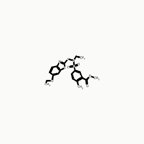 CCOc1ccc2nc(SN(CC)S(=O)(=O)c3ccc(C)c(C(=O)OC)c3)sc2c1